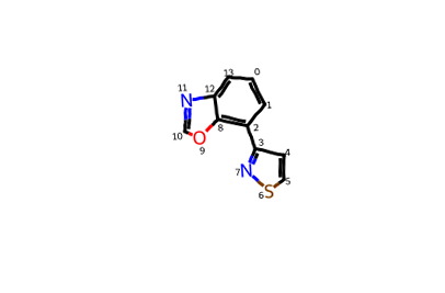 c1cc(-c2ccsn2)c2ocnc2c1